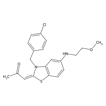 COCCNc1ccc2c(c1)N(Cc1ccc(Cl)cc1)C(=CC(C)=O)S2